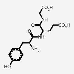 N[C@@H](Cc1ccc(O)cc1)C(=O)N[C@@H](CCC(=O)O)C(=O)NCC(=O)O